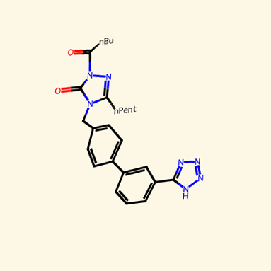 CCCCCc1nn(C(=O)CCCC)c(=O)n1Cc1ccc(-c2cccc(-c3nnn[nH]3)c2)cc1